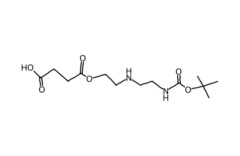 CC(C)(C)OC(=O)NCCNCCOC(=O)CCC(=O)O